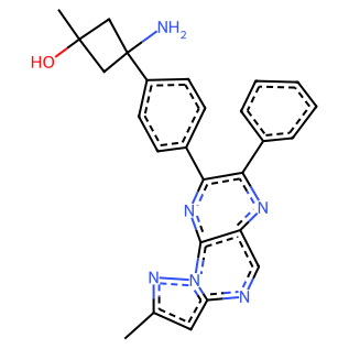 Cc1cc2ncc3nc(-c4ccccc4)c(-c4ccc(C5(N)CC(C)(O)C5)cc4)nc3n2n1